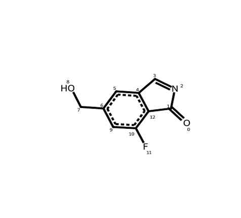 O=C1N=Cc2cc(CO)cc(F)c21